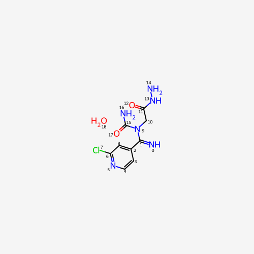 N=C(c1ccnc(Cl)c1)N(CC(=O)NN)C(N)=O.O